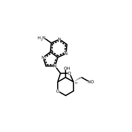 Nc1ncnc2c1ncn2C1O[C@@]2(CN=O)CCOC1C2O